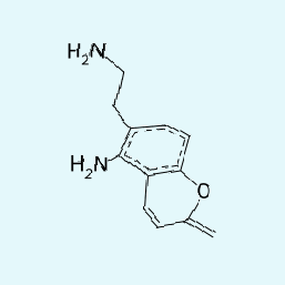 C=C1C=Cc2c(ccc(CCN)c2N)O1